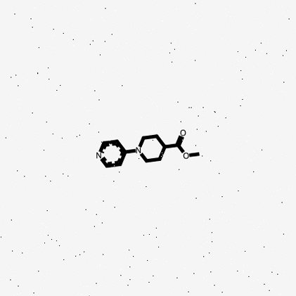 COC(=O)C1CCN(c2ccncc2)CC1